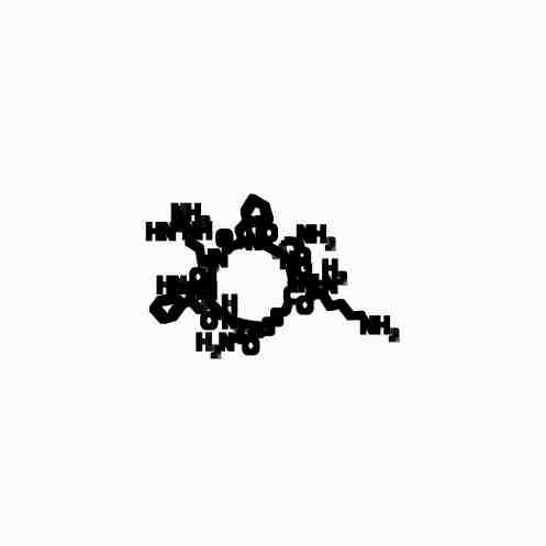 CC1(C)SSCC[C@H](NC(=O)[C@@H](N)CCCCN)C(=O)N[C@@H](CC(N)=O)C(=O)N[C@H](Cc2ccccc2)C(=O)N[C@@H](CCCNC(=N)N)C(=O)N[C@@H](Cc2c[nH]c3ccccc23)C(=O)N[C@@H]1C(N)=O